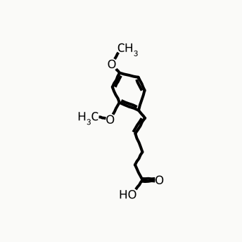 COc1ccc(C=CCCC(=O)O)c(OC)c1